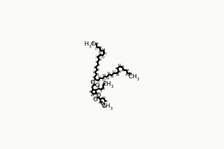 CC/C=C\CC1C(CC(=O)OC(CCCCCCCC/C=C\C/C=C\CCCCC)CCCCCCCC/C=C\C/C=C\CCCCC)CCC1OC(=O)C1CCN(C)C1